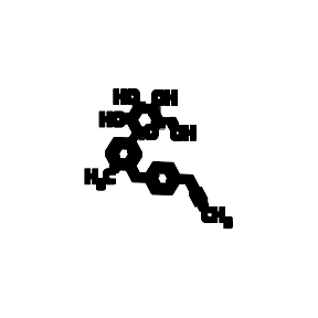 CC#CCc1ccc(Cc2cc([C@@H]3O[C@H](CO)[C@@H](O)[C@H](O)[C@H]3O)ccc2C)cc1